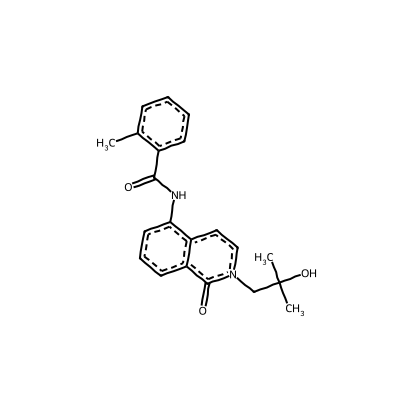 Cc1ccccc1C(=O)Nc1cccc2c(=O)n(CC(C)(C)O)ccc12